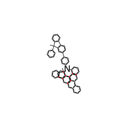 CC1(C)c2ccccc2-c2cccc(-c3ccccc3N(c3ccc(-c4ccc5c(c4)C(C)(c4ccccc4)c4ccccc4-5)cc3)c3ccccc3-c3cccc4c3ccc3ccccc34)c21